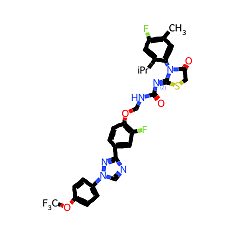 Cc1cc(N2C(=O)CS/C2=N\C(=O)NCOc2ccc(-c3ncn(-c4ccc(OC(F)(F)F)cc4)n3)cc2F)c(C(C)C)cc1F